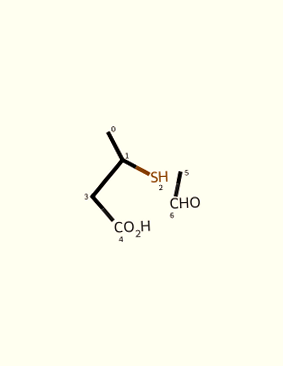 CC(S)CC(=O)O.CC=O